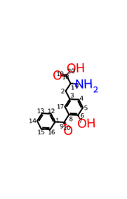 NC(Cc1ccc(O)c(C(=O)c2ccccc2)c1)C(=O)O